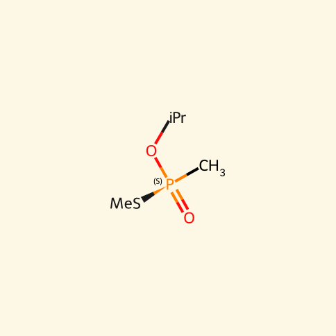 CS[P@@](C)(=O)OC(C)C